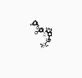 CN(C)[C@H](C[S+](C)[O-])c1ccc(-c2ccc3ncnc(Nc4ccc(OCc5cccc(F)c5)c(Cl)c4)c3c2)o1